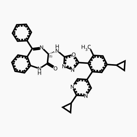 Cc1cc(C2CC2)cc(-c2cnc(C3CC3)nc2)c1-c1nnc(N[C@H]2N=C(c3ccccc3)c3ccccc3NC2=O)o1